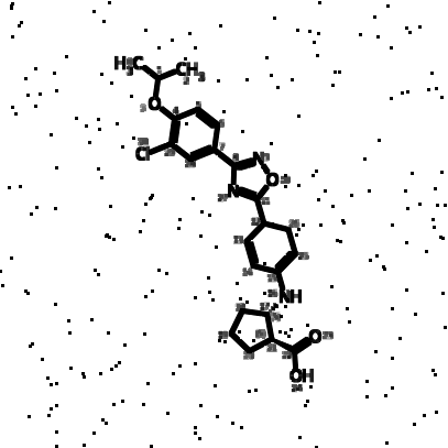 CC(C)Oc1ccc(-c2noc(C3C=CC(N[C@H]4CCC[C@@H]4C(=O)O)=CC3)n2)cc1Cl